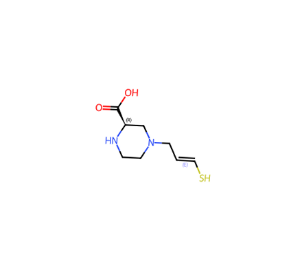 O=C(O)[C@H]1CN(C/C=C/S)CCN1